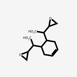 O=C(O)C(C1CO1)C1CC=CCC1C(C(=O)O)C1CO1